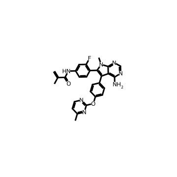 C=C(C)C(=O)Nc1ccc(-c2c(-c3ccc(Oc4nccc(C)n4)cc3)c3c(N)ncnc3n2C)c(F)c1